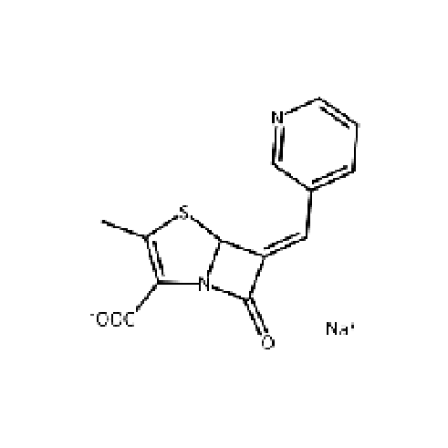 CC1=C(C(=O)[O-])N2C(=O)/C(=C/c3cccnc3)C2S1.[Na+]